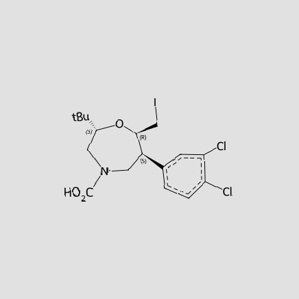 CC(C)(C)[C@H]1CN(C(=O)O)C[C@H](c2ccc(Cl)c(Cl)c2)[C@H](CI)O1